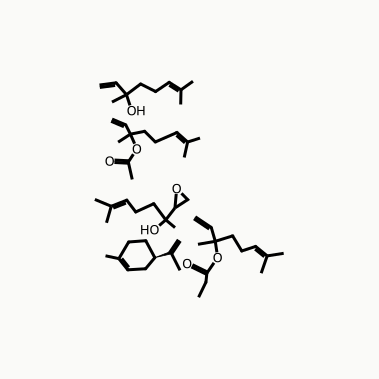 C=C(C)[C@H]1CC=C(C)CC1.C=CC(C)(CCC=C(C)C)OC(=O)CC.C=CC(C)(CCC=C(C)C)OC(C)=O.C=CC(C)(O)CCC=C(C)C.CC(C)=CCCC(C)(O)C1CO1